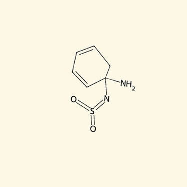 NC1(N=S(=O)=O)C=CC=CC1